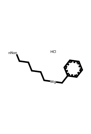 CCCCCCCCCCCCC[CH2][Mg][CH2]c1ccccc1.Cl